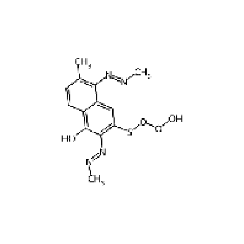 CN=Nc1c(SOOO)cc2c(N=NC)c(C)ccc2c1O